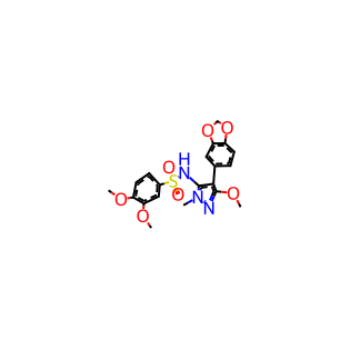 COc1ccc(S(=O)(=O)Nc2c(-c3ccc4c(c3)OCO4)c(OC)nn2C)cc1OC